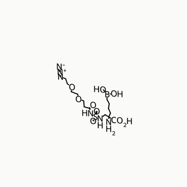 [N-]=[N+]=NCCOCCOCCC(=O)NS(=O)(=O)NCC(N)(CCCCB(O)O)C(=O)O